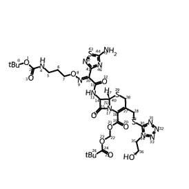 CC(C)(C)OC(=O)NCCCON=C(C(=O)NC1C(=O)N2C(C(=O)OCOC(=O)C(C)(C)C)=C(CSc3nnnn3CCO)CS[C@@H]12)c1nsc(N)n1